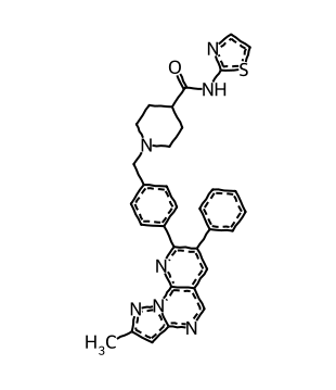 Cc1cc2ncc3cc(-c4ccccc4)c(-c4ccc(CN5CCC(C(=O)Nc6nccs6)CC5)cc4)nc3n2n1